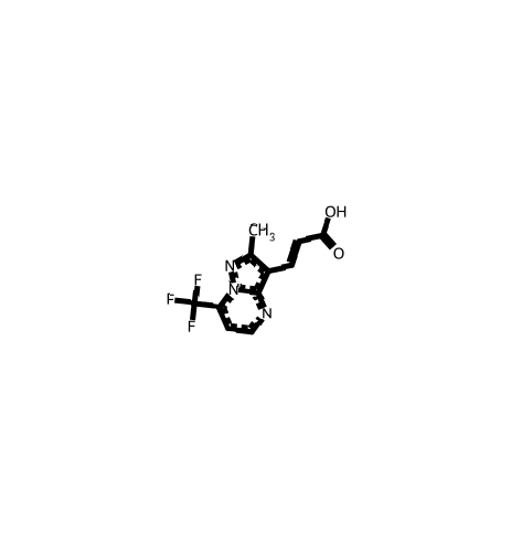 Cc1nn2c(C(F)(F)F)ccnc2c1/C=C/C(=O)O